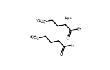 CCC(=O)CCCC(=O)[O-].CCC(=O)CCCC(=O)[O-].[Fe+2]